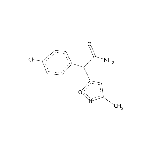 Cc1cc(C(C(N)=O)c2ccc(Cl)cc2)on1